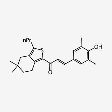 CCCc1sc(C(=O)C=Cc2cc(C)c(O)c(C)c2)c2c1CC(C)(C)CC2